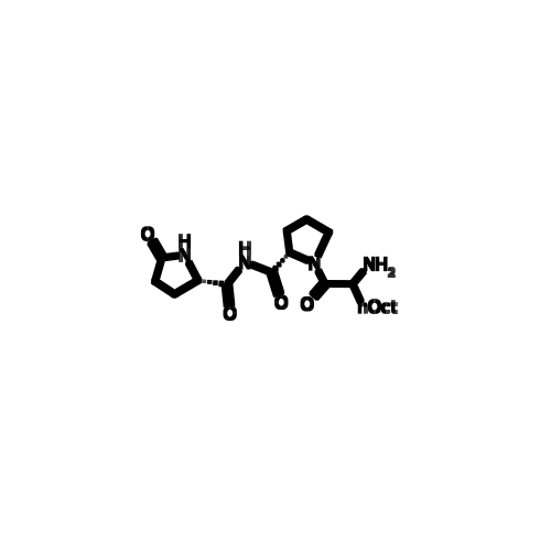 CCCCCCCCC(N)C(=O)N1CCC[C@H]1C(=O)NC(=O)[C@@H]1CCC(=O)N1